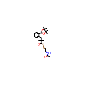 CC(=O)NCCSSC(=O)C(C)(C)Cc1ccccc1B1OC(C)(C)C(C)(C)O1